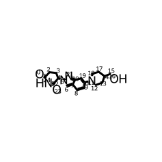 O=C1CCC(n2cc3ccc(N4CCC(CO)CC4)cc3n2)C(=O)N1